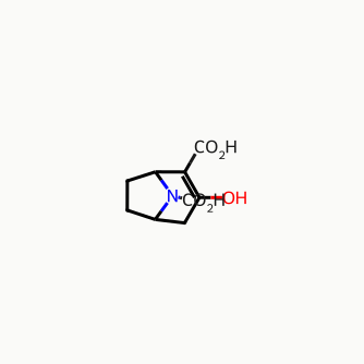 O=C(O)C1=C(O)CC2CCC1N2C(=O)O